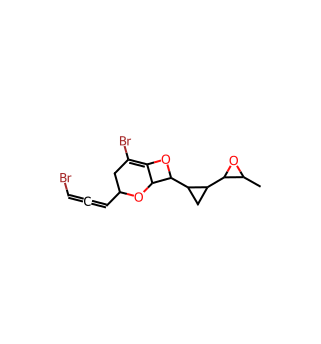 CC1OC1C1CC1C1OC2=C(Br)CC(C=C=CBr)OC21